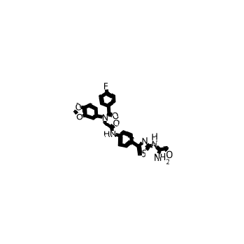 NC(C=O)Nc1nc(-c2ccc(NC(=O)CN(C(=O)c3ccc(F)cc3)c3ccc4c(c3)OCO4)cc2)cs1